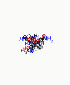 CC(C)(O)c1cnnn1[C@H]1C[C@@H](C(=O)NC(CCCCNC(=O)O)C(=O)C(N)=O)N(C(=O)C(CC2CCCCC2)NC(=O)c2ccc(C(N)=O)cc2)C1